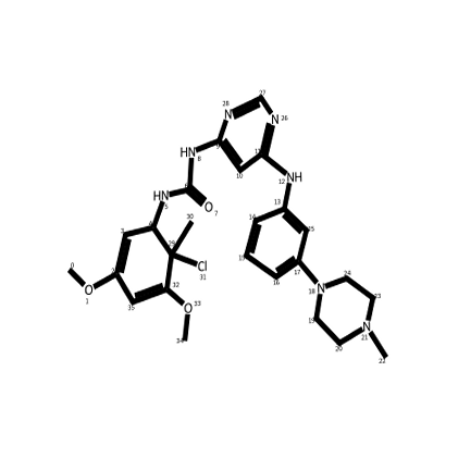 COC1=CC(NC(=O)Nc2cc(Nc3cccc(N4CCN(C)CC4)c3)ncn2)C(C)(Cl)C(OC)=C1